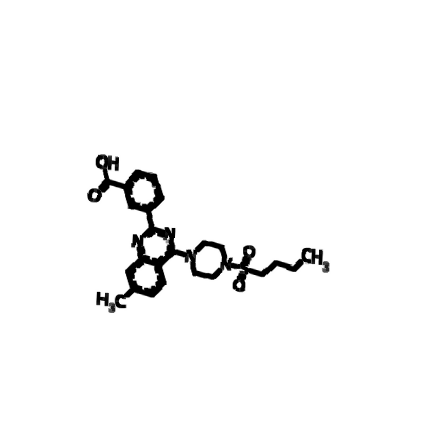 CCCCS(=O)(=O)N1CCN(c2nc(-c3cccc(C(=O)O)c3)nc3cc(C)ccc23)CC1